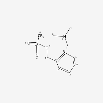 CN(C)C.O=S(=O)(OCc1ccccc1)C(F)(F)F